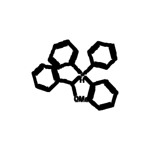 COC(c1ccccc1)[PH](c1ccccc1)(c1ccccc1)c1ccccc1